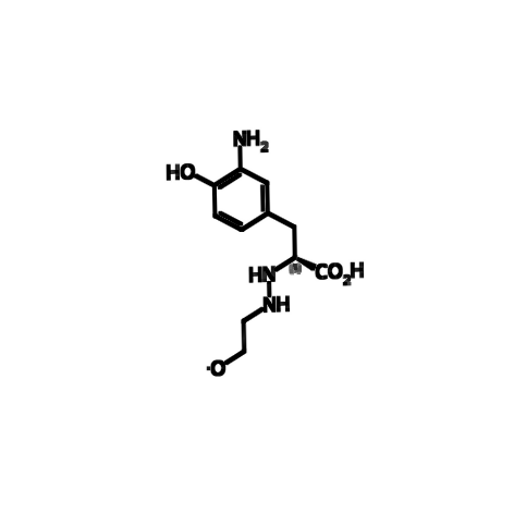 Nc1cc(C[C@H](NNCC[O])C(=O)O)ccc1O